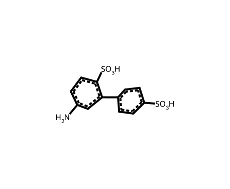 Nc1ccc(S(=O)(=O)O)c(-c2ccc(S(=O)(=O)O)cc2)c1